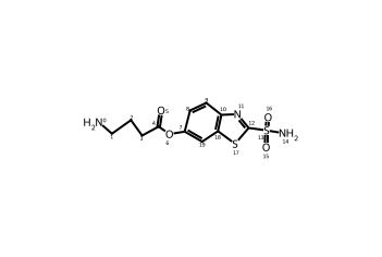 NCCCC(=O)Oc1ccc2nc(S(N)(=O)=O)sc2c1